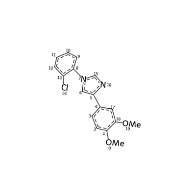 COc1ccc(-c2cn(-c3ccccc3Cl)cn2)cc1OC